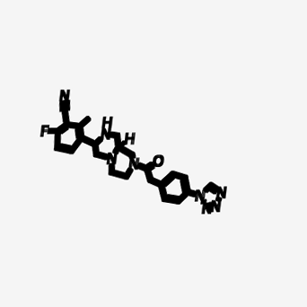 Cc1c(C2CN3CCN(C(=O)Cc4ccc(-n5cnnn5)cc4)C[C@H]3CN2)ccc(F)c1C#N